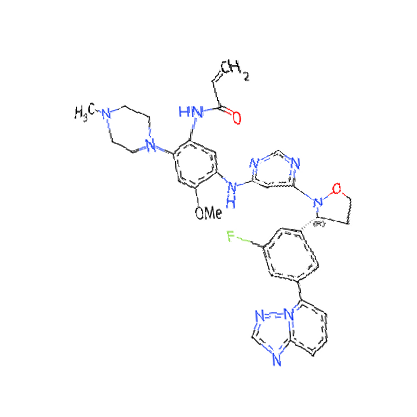 C=CC(=O)Nc1cc(Nc2cc(N3OCC[C@@H]3c3cc(F)cc(-c4cccc5ncnn45)c3)ncn2)c(OC)cc1N1CCN(C)CC1